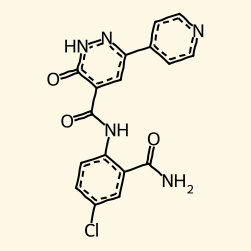 NC(=O)c1cc(Cl)ccc1NC(=O)c1cc(-c2ccncc2)n[nH]c1=O